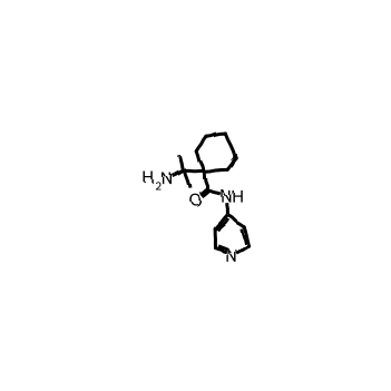 CC(C)(N)C1(C(=O)Nc2ccncc2)CCCCC1